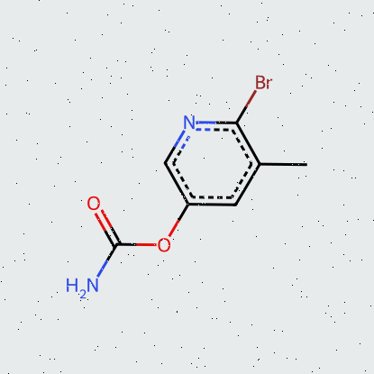 Cc1cc(OC(N)=O)cnc1Br